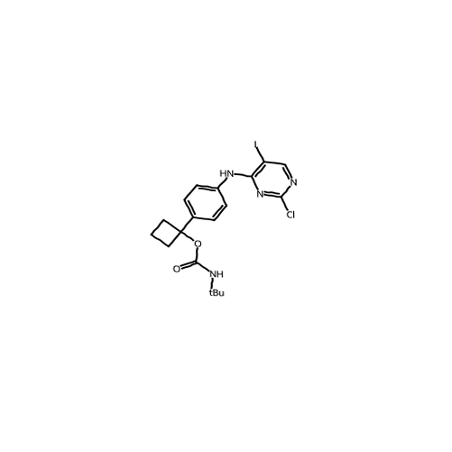 CC(C)(C)NC(=O)OC1(c2ccc(Nc3nc(Cl)ncc3I)cc2)CCC1